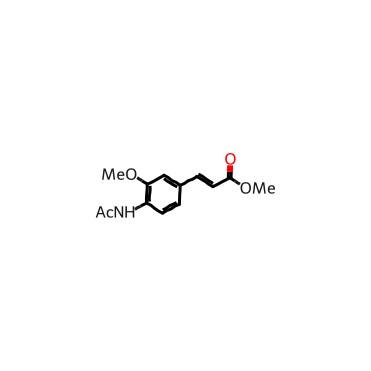 COC(=O)C=Cc1ccc(NC(C)=O)c(OC)c1